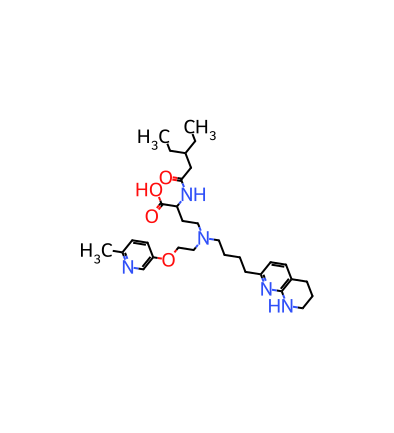 CCC(CC)CC(=O)NC(CCN(CCCCc1ccc2c(n1)NCCC2)CCOc1ccc(C)nc1)C(=O)O